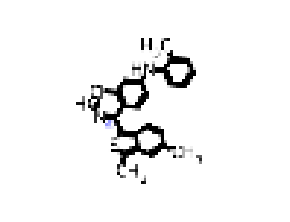 Cc1ccc2c(/C(=N/O)c3ccc(Nc4ccccc4C)cc3Cl)sc(C)c2c1